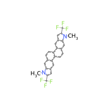 Cn1c(C(F)(F)F)cc2cc3c(ccc4c5cc6cc(C(F)(F)F)n(C)c6cc5ccc34)cc21